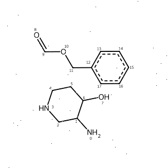 NC1CNCCC1O.O=COCc1ccccc1